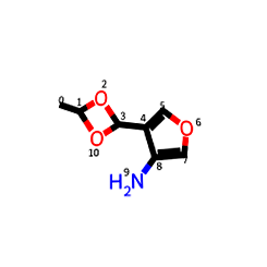 CC1OC(c2cocc2N)O1